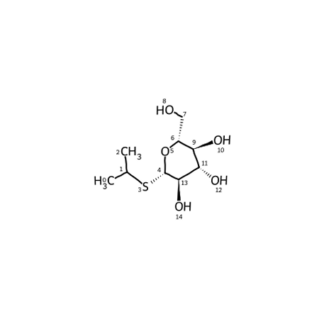 CC(C)S[C@@H]1O[C@H](CO)[C@@H](O)[C@H](O)[C@H]1O